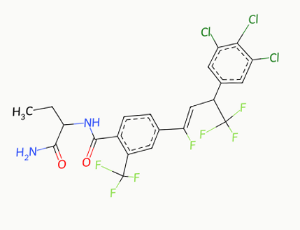 CCC(NC(=O)c1ccc(/C(F)=C/C(c2cc(Cl)c(Cl)c(Cl)c2)C(F)(F)F)cc1C(F)(F)F)C(N)=O